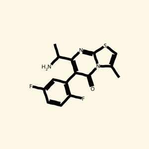 Cc1csc2nc(C(C)N)c(-c3cc(F)ccc3F)c(=O)n12